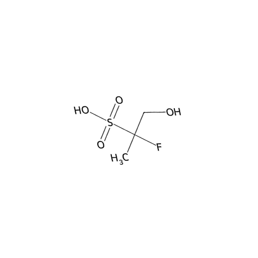 CC(F)(CO)S(=O)(=O)O